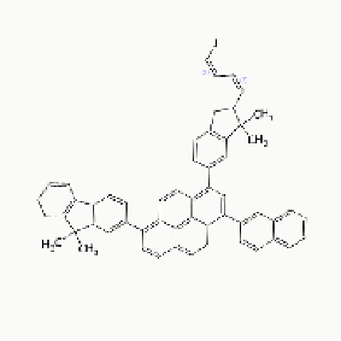 CC1(C)C2=C(C=CCC2)c2ccc(-c3ccc4ccc5c(-c6ccc7ccccc7c6)cc(-c6ccc7c(c6)C(C)(C)C(/C=C\C=C/I)C7)c6ccc3c4c65)cc21